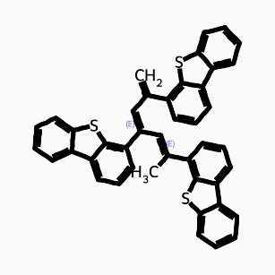 C=C(/C=C(\C=C(/C)c1cccc2c1sc1ccccc12)c1cccc2c1sc1ccccc12)c1cccc2c1sc1ccccc12